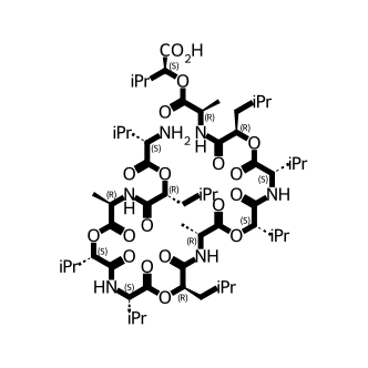 CC(C)C[C@@H](OC(=O)[C@@H](N)C(C)C)C(=O)N[C@H](C)C(=O)O[C@H](C(=O)N[C@H](C(=O)O[C@H](CC(C)C)C(=O)N[C@H](C)C(=O)O[C@H](C(=O)N[C@H](C(=O)O[C@H](CC(C)C)C(=O)N[C@H](C)C(=O)O[C@H](C(=O)O)C(C)C)C(C)C)C(C)C)C(C)C)C(C)C